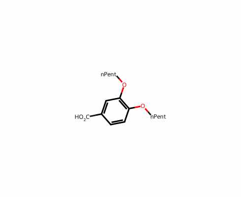 CCCCCOc1ccc(C(=O)O)cc1OCCCCC